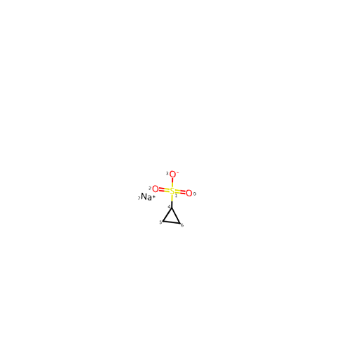 O=S(=O)([O-])C1CC1.[Na+]